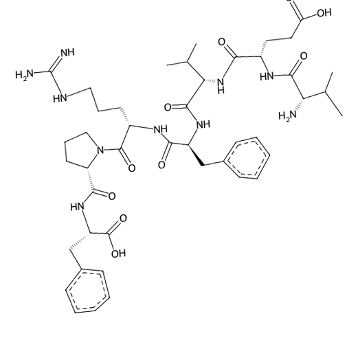 CC(C)[C@H](N)C(=O)N[C@@H](CCC(=O)O)C(=O)N[C@H](C(=O)N[C@@H](Cc1ccccc1)C(=O)N[C@@H](CCCNC(=N)N)C(=O)N1CCC[C@H]1C(=O)N[C@@H](Cc1ccccc1)C(=O)O)C(C)C